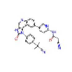 Cn1c(=O)n(-c2ccc(C(C)(C)C#N)cc2)c2c3cc(-c4ccc(NC(=O)CC#N)nc4)ccc3ncc21